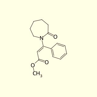 COC(=O)C=C(c1ccccc1)N1CCCCCC1=O